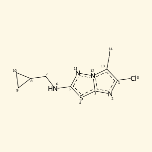 Clc1nc2sc(NCC3CC3)nn2c1I